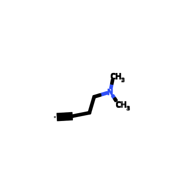 [C]#CCCN(C)C